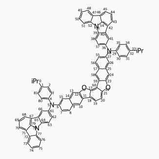 CC(C)c1ccc(N(c2ccc3cc4c(cc3c2)oc2c4ccc3oc4cc5cc(N(c6ccc(C(C)C)cc6)c6ccc7c(c6)c6cccc8c9ccccc9n7c86)ccc5cc4c32)c2ccc3c(c2)c2cccc4c5ccccc5n3c42)cc1